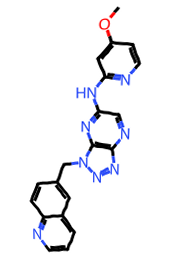 COc1ccnc(Nc2cnc3nnn(Cc4ccc5ncccc5c4)c3n2)c1